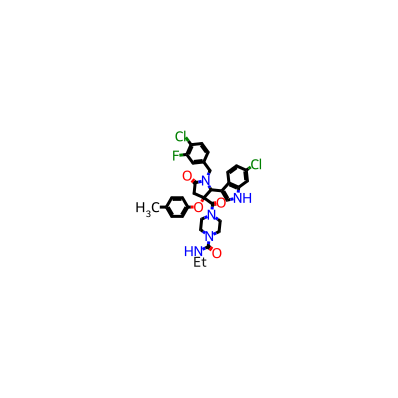 CCNC(=O)N1CCN(C(=O)C2(Oc3ccc(C)cc3)CC(=O)N(Cc3ccc(Cl)c(F)c3)C2c2c[nH]c3cc(Cl)ccc23)CC1